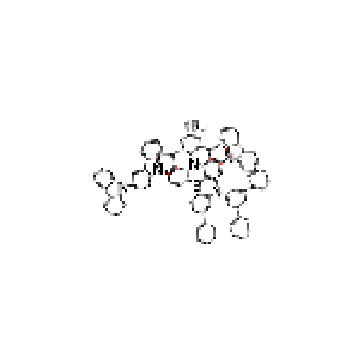 CC(C)(C)c1cc(-c2ccccc2)c(N2c3cc(-n4c5ccccc5c5cc(-n6c7ccccc7c7ccccc76)ccc54)ccc3B3c4ccc(-c5ccccc5)cc4N(c4cc(-c5ccccc5)cc(-c5ccccc5)c4)c4cc(-n5c6ccccc6c6ccccc65)cc2c43)c(-c2ccccc2)c1